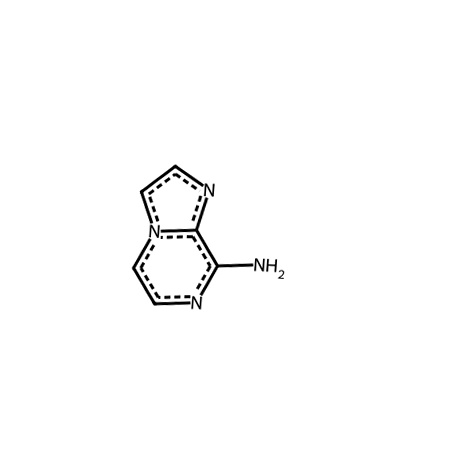 Nc1nccn2ccnc12